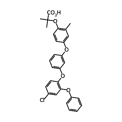 Cc1cc(Oc2cccc(Oc3ccc(Cl)cc3Oc3ccccc3)c2)ccc1OC(C)(C)C(=O)O